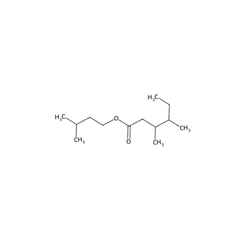 CCC(C)C(C)CC(=O)OCCC(C)C